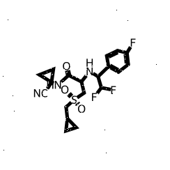 N#CC1(NC(=O)C(CS(=O)(=O)CC2CC2)NC(c2ccc(F)cc2)C(F)F)CC1